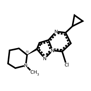 CN1CCCC[C@H]1c1cc2nc(C3CC3)cc(Cl)n2n1